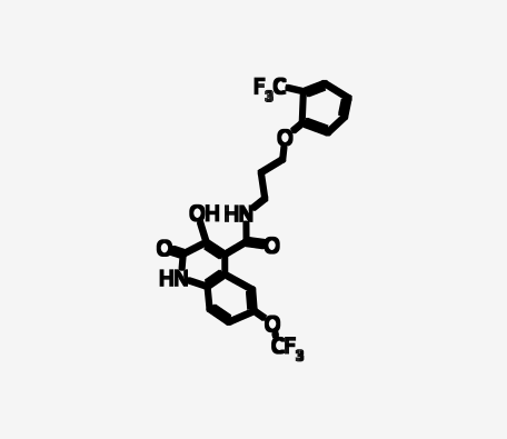 O=C(NCCCOc1ccccc1C(F)(F)F)c1c(O)c(=O)[nH]c2ccc(OC(F)(F)F)cc12